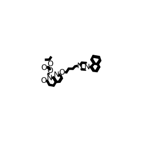 CC(C)OC(=O)OCN1C(=O)CCc2ccc(OCCCCN3CCN(c4cccc5ccccc45)CC3)nc21